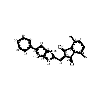 Cc1ccc(C)c2c1C(=O)C(=Cc1nc3sc(-c4ccccc4)cc3s1)C2=O